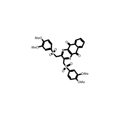 COc1ccc(S(=O)(=O)Cc2nc3c(nc2CS(=O)(=O)c2ccc(OC)c(OC)c2)C(=O)c2ccccc2C3=O)cc1OC